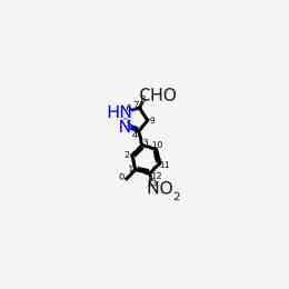 Cc1cc(C2=NNC(C=O)C2)ccc1[N+](=O)[O-]